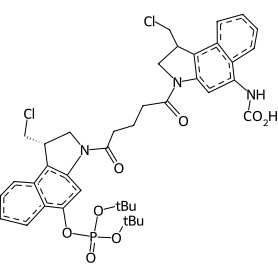 CC(C)(C)OP(=O)(Oc1cc2c(c3ccccc13)[C@H](CCl)CN2C(=O)CCCC(=O)N1CC(CCl)c2c1cc(NC(=O)O)c1ccccc21)OC(C)(C)C